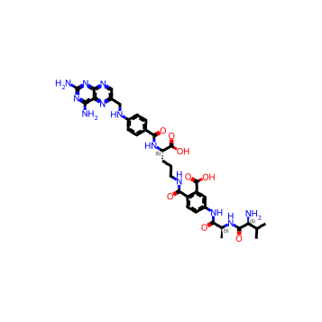 CC(C)[C@H](N)C(=O)N[C@@H](C)C(=O)Nc1ccc(C(=O)NCCC[C@H](NC(=O)c2ccc(NCc3cnc4nc(N)nc(N)c4n3)cc2)C(=O)O)c(C(=O)O)c1